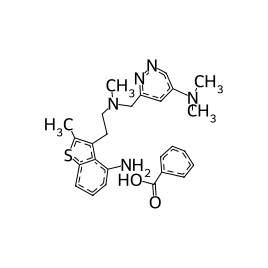 Cc1sc2cccc(N)c2c1CCN(C)Cc1cc(N(C)C)cnn1.O=C(O)c1ccccc1